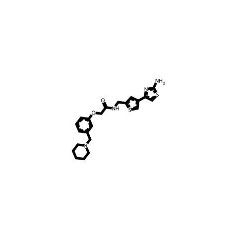 Nc1nc(-c2csc(CNC(=O)COc3cccc(CN4CCCCC4)c3)c2)cs1